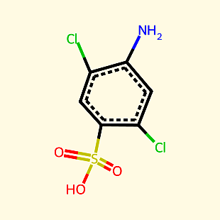 Nc1cc(Cl)c(S(=O)(=O)O)cc1Cl